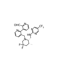 C[C@@H]1CC(F)(F)CN(Cc2cccnc2-c2cccnc2C=O)[C@@H]1CNc1ncc(C(F)(F)F)cn1